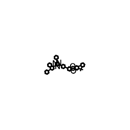 CC1(C)c2ccccc2-c2cc3c(cc21)Oc1ccc(-c2ccc(-c4nc(-c5ccccc5)nc(-c5ccc(-c6ccccc6)c6ccccc56)n4)cc2)cc1O3